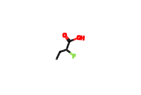 CCC(F)C(=O)O